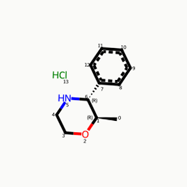 C[C@H]1OCCN[C@@H]1c1ccccc1.Cl